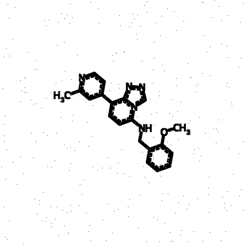 COc1ccccc1CNc1ccc(-c2ccnc(C)c2)c2nncn12